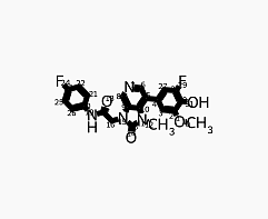 COc1cc(-c2cncc3c2n(C)c(=O)n3CC(=O)Nc2ccc(F)cc2)cc(F)c1O